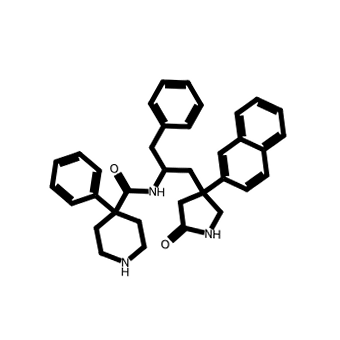 O=C1CC(CC(Cc2ccccc2)NC(=O)C2(c3ccccc3)CCNCC2)(c2ccc3ccccc3c2)CN1